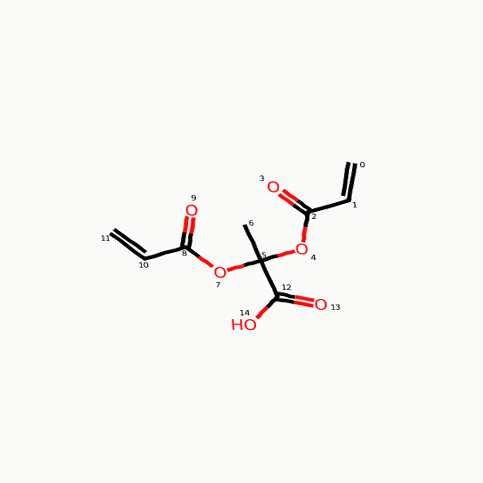 C=CC(=O)OC(C)(OC(=O)C=C)C(=O)O